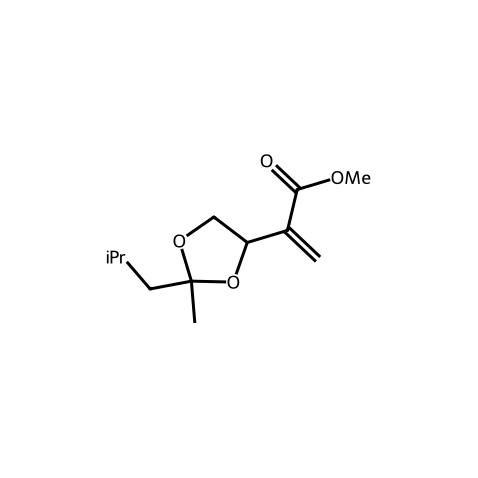 C=C(C(=O)OC)C1COC(C)(CC(C)C)O1